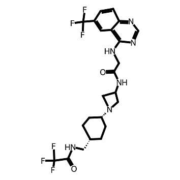 O=C(CNc1ncnc2ccc(C(F)(F)F)cc12)NC1CN([C@H]2CC[C@@H](CNC(=O)C(F)(F)F)CC2)C1